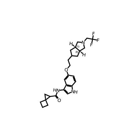 O=C(Nc1c[nH]c2ccc(OCCC3C[C@@H]4CN(CC(F)(F)F)C[C@@H]4C3)cc12)C1CC12CCC2